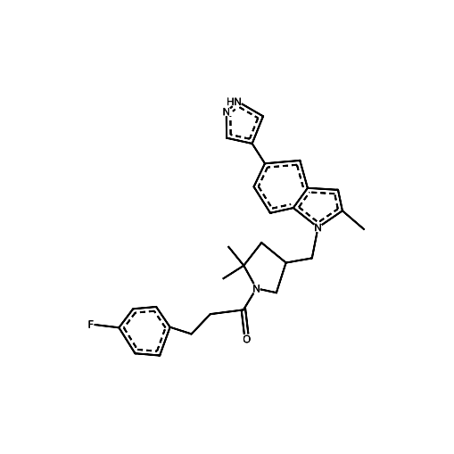 Cc1cc2cc(-c3cn[nH]c3)ccc2n1CC1CN(C(=O)CCc2ccc(F)cc2)C(C)(C)C1